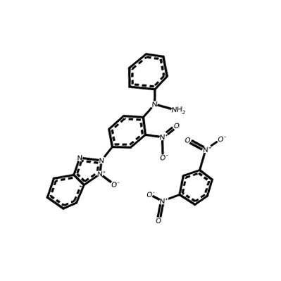 NN(c1ccccc1)c1ccc(-n2nc3ccccc3[n+]2[O-])cc1[N+](=O)[O-].O=[N+]([O-])c1cccc([N+](=O)[O-])c1